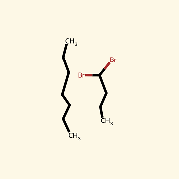 CCCC(Br)Br.CCCCCCC